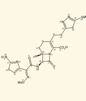 CON=C(C(=O)N[C@@H]1C(=O)N2C(C(=O)O)=C(CSc3nnc(SC)s3)CS[C@@H]12)c1csc(N)n1